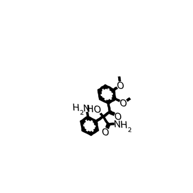 COc1cccc(C(=O)C(O)(C(N)=O)c2ccccc2N)c1OC